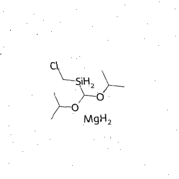 CC(C)OC(OC(C)C)[SiH2]CCl.[MgH2]